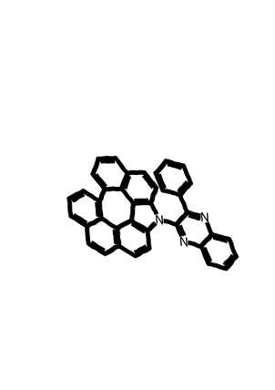 c1ccc(-c2nc3ccccc3nc2-n2c3ccc4cccc5c4c3c3c4c(ccc6cccc-5c64)ccc32)cc1